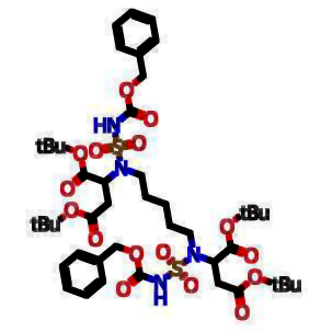 CC(C)(C)OC(=O)CC(C(=O)OC(C)(C)C)N(CCCCCN(C(CC(=O)OC(C)(C)C)C(=O)OC(C)(C)C)S(=O)(=O)NC(=O)OCc1ccccc1)S(=O)(=O)NC(=O)OCc1ccccc1